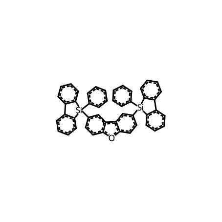 c1ccc([Si]2(c3ccc4oc5ccc([Si]6(c7ccccc7)c7ccccc7-c7ccccc76)cc5c4c3)c3ccccc3-c3ccccc32)cc1